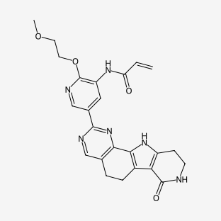 C=CC(=O)Nc1cc(-c2ncc3c(n2)-c2[nH]c4c(c2CC3)C(=O)NCC4)cnc1OCCOC